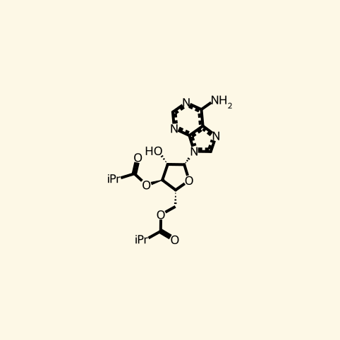 CC(C)C(=O)OC[C@H]1O[C@@H](n2cnc3c(N)ncnc32)[C@@H](O)[C@@H]1OC(=O)C(C)C